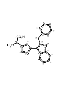 CN(C(=O)O)c1noc(-c2c3ccccc3nn2Cc2ccccn2)n1